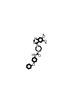 COc1cc2ncnc(N3CCCN(C(=O)Nc4ccc(Oc5ccccc5)cc4)CC3)c2cc1OC